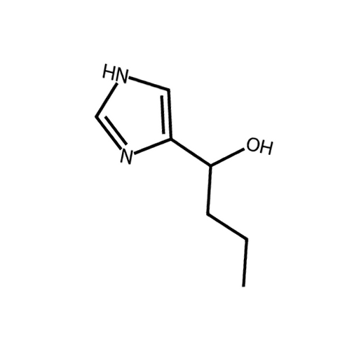 CCCC(O)c1c[nH]cn1